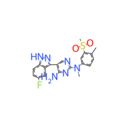 Cc1ccc(N(C)c2ncc(-c3n[nH]c4ccc(F)cc34)c(N)n2)cc1S(C)(=O)=O